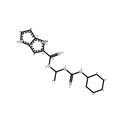 CC(OC(=O)OC1CCCCC1)OC(=O)c1cc2occc2[nH]1